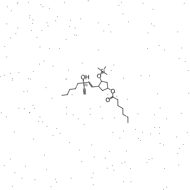 C#C[C@@](O)(C=CC1CC(OC(=O)CCCCCC)CC1O[Si](C)(C)C)CCCCC